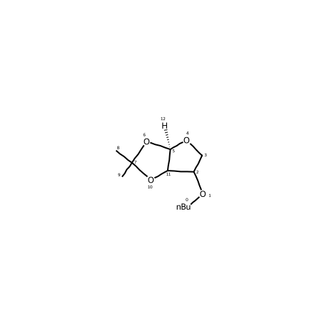 CCCCOC1CO[C@@H]2OC(C)(C)OC12